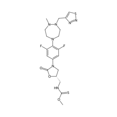 COC(=S)NC[C@H]1CN(c2cc(F)c(N3CCN(C)N(Cc4csnn4)CC3)c(F)c2)C(=O)O1